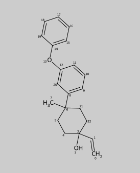 C=CC1(O)CCC(C)(c2cccc(Oc3ccccc3)c2)CC1